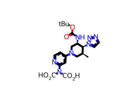 C[C@H]1CN(c2ccnc(N(C(=O)O)C(=O)O)c2)C[C@@H](NC(=O)OC(C)(C)C)[C@H]1n1ccnn1